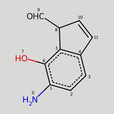 Nc1ccc2c(c1O)C(C=O)C=C2